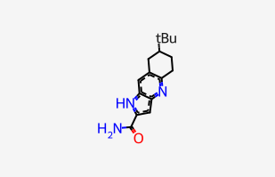 CC(C)(C)C1CCc2nc3cc(C(N)=O)[nH]c3cc2C1